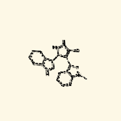 Cn1cc(-c2c(-c3c[nH]c4ccccc34)[nH][nH]c2=O)c2ccccc21